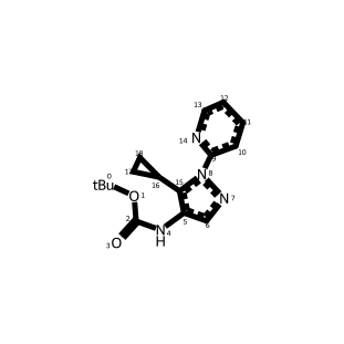 CC(C)(C)OC(=O)Nc1cnn(-c2ccccn2)c1C1CC1